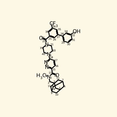 CN(CC12CC3CC(CC(C3)C1)C2)C(=O)c1ccc(N2CCN(C(=O)c3cc(-c4cccc(O)c4)cc(C(F)(F)F)c3)CC2)nn1